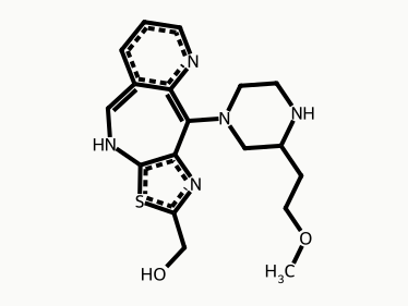 COCCC1CN(C2=c3ncccc3=CNc3sc(CO)nc32)CCN1